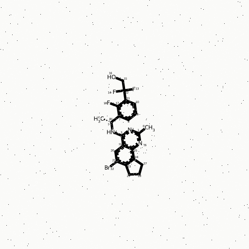 Cc1nc(N[C@H](C)c2cccc(C(F)(F)CO)c2F)c2cc(Br)c3c(c2n1)CCC3